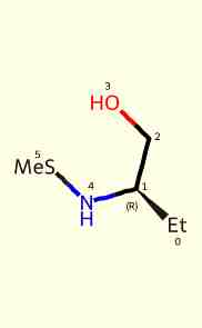 CC[C@H](CO)NSC